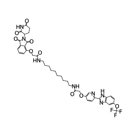 O=C(COc1ccc(-c2nc3cc(OC(F)(F)F)ccc3[nH]2)nc1)NCCCCCCCCCCNC(=O)COc1cccc2c1C(=O)N(C1CCC(=O)NC1=O)C2=O